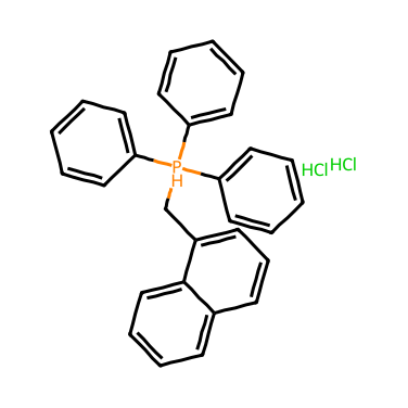 Cl.Cl.c1ccc([PH](Cc2cccc3ccccc23)(c2ccccc2)c2ccccc2)cc1